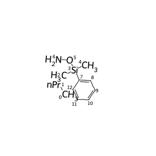 CCCC.C[Si](C)(ON)c1ccccc1